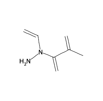 C=CN(N)C(=C)C(=C)C